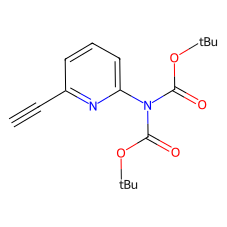 C#Cc1cccc(N(C(=O)OC(C)(C)C)C(=O)OC(C)(C)C)n1